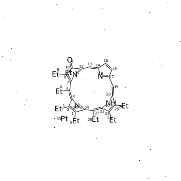 CCC1=C(CC)C2=C(CC)C3=C(CC)C(=O)C(C=C4C=CC(=N4)C=c4[nH]c(c(CC)c4CC)=C(CC)C1=N2)N3CC.[Pt]